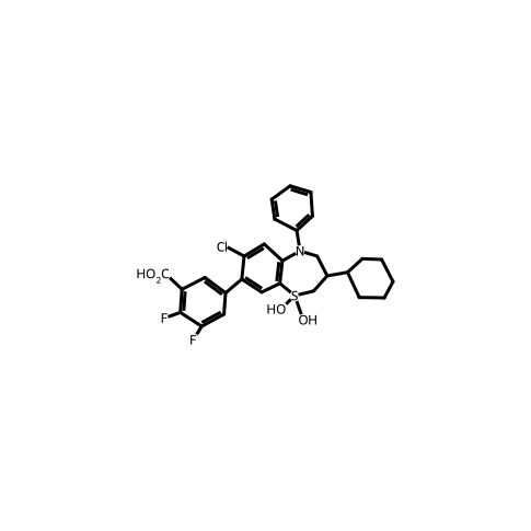 O=C(O)c1cc(-c2cc3c(cc2Cl)N(c2ccccc2)CC(C2CCCCC2)CS3(O)O)cc(F)c1F